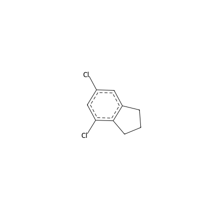 Clc1cc(Cl)c2c(c1)CCC2